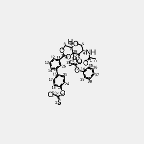 CC(=O)N[C@H]1CO[C@@H]2COC(c3cccc(-c4ccc(OC(=S)Cl)cc4)c3)O[C@H]2[C@@H]1OC(=S)Oc1ccccc1